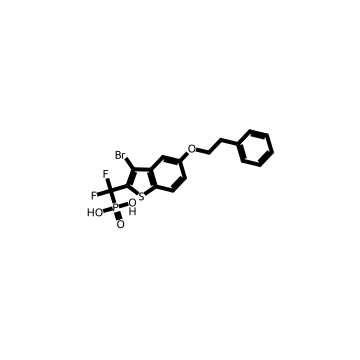 O=P(O)(O)C(F)(F)c1sc2ccc(OCCc3ccccc3)cc2c1Br